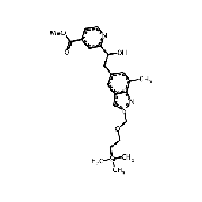 COC(=O)c1ccnc(C(O)Cc2cc(C)c3nn(COCC[Si](C)(C)C)cc3c2)c1